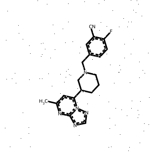 Cc1cc(C2CCCN(Cc3ccc(F)c(C#N)c3)C2)n2ncnc2n1